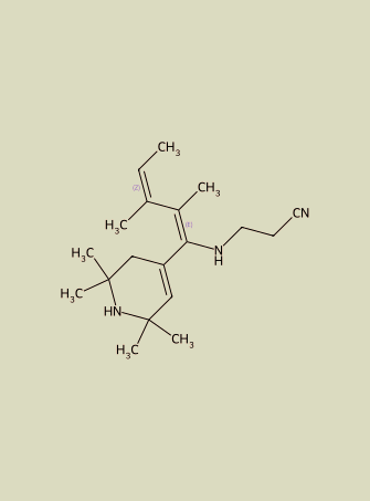 C/C=C(C)\C(C)=C(\NCCC#N)C1=CC(C)(C)NC(C)(C)C1